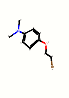 CN(C)c1ccc(OCCBr)cc1